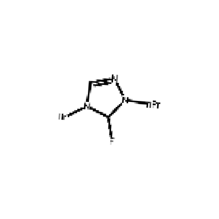 CCCN1N=CN(Br)C1F